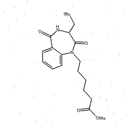 COC(=O)CCCCCN1C(=O)C(CC(C)(C)C)NC(=O)c2ccccc21